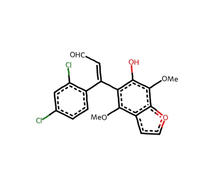 COc1c(C(=CC=O)c2ccc(Cl)cc2Cl)c(O)c(OC)c2occc12